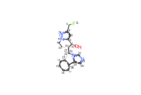 O[C@@H]1c2cc(CF)nn2CC[C@H]1[C@H]1c2ccccc2-c2cncn21